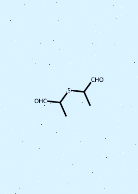 CC(C=O)SC(C)C=O